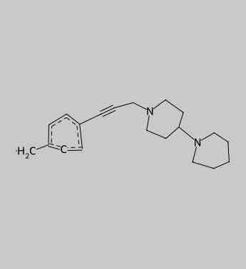 [CH2]c1ccc(C#CCN2CCC(N3CCCCC3)CC2)cc1